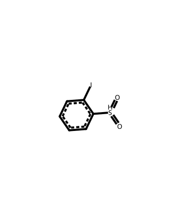 O=[SH](=O)c1ccccc1I